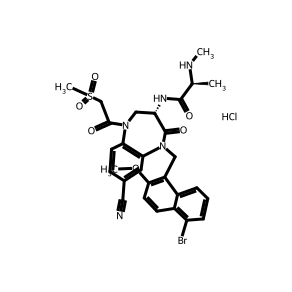 CN[C@@H](C)C(=O)N[C@H]1CN(C(=O)CS(C)(=O)=O)c2ccc(C#N)cc2N(Cc2c(OC)ccc3c(Br)cccc23)C1=O.Cl